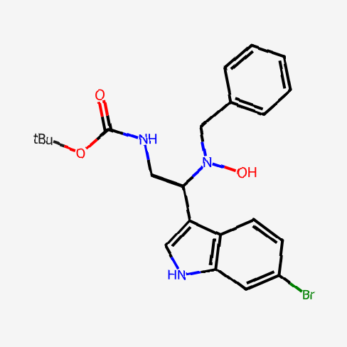 CC(C)(C)OC(=O)NCC(c1c[nH]c2cc(Br)ccc12)N(O)Cc1ccccc1